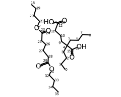 CCCCC(CCCC)(CCCC(=O)O)C(=O)O.CCCCOC(=O)CCCCC(=O)OCCCC